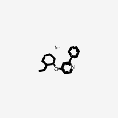 CCC1CCCCC1Oc1ccnc(-c2ccccc2)c1.[Ir]